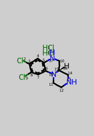 Cl.Cl.Clc1cc2c(cc1Cl)N1CCNC[C@H]1CN2